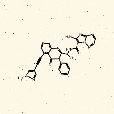 CC(NC(=O)c1c(N)nc2cccnn12)c1nc2cccc(C#Cc3cnn(C)c3)c2c(=O)n1-c1ccccc1